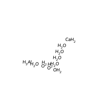 O.O.O.O.O.O.O.O.[AlH3].[CaH2]